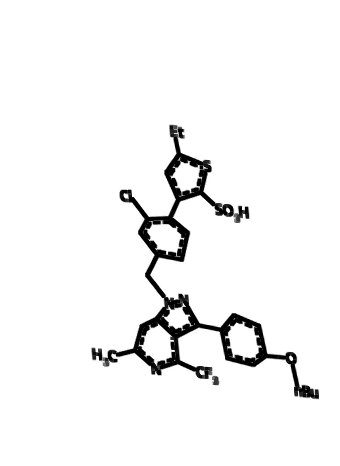 CCCCOc1ccc(-c2nn(Cc3ccc(-c4cc(CC)sc4S(=O)(=O)O)c(Cl)c3)c3cc(C)nc(C(F)(F)F)c23)cc1